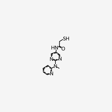 CN(c1ccccn1)c1ncc(NC(=O)CS)cn1